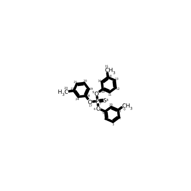 Cc1cccc(OP(=S)(Oc2cccc(C)c2)Oc2cccc(C)c2)c1